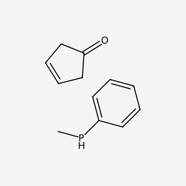 CPc1ccccc1.O=C1CC=CC1